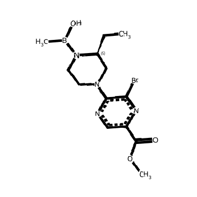 CC[C@H]1CN(c2ncc(C(=O)OC)nc2Br)CCN1B(C)O